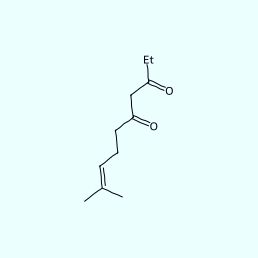 CCC(=O)CC(=O)CCC=C(C)C